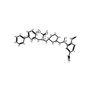 C=Nc1ccc(C#N)cc1N(C)CC1CCCC(CN(Cc2cccc(-c3ccccc3)n2)C(=O)O)C1